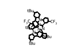 CC(C)(C)c1ccc2c(c1)c1cc(C(C)(C)C)ccc1n2-c1ccc(C(F)(F)F)cc1-c1nc(-c2ccccc2)nc(-c2cc(C(F)(F)F)ccc2-n2c3ccc(C(C)(C)C)cc3c3cc(C(C)(C)C)ccc32)n1